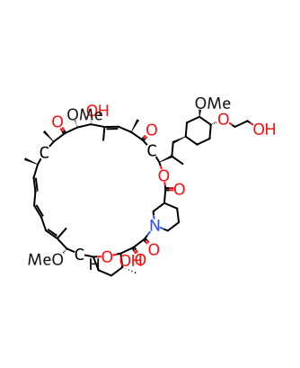 CO[C@H]1C[C@@H]2CC[C@@H](C)[C@@](O)(O2)C(=O)C(=O)N2CCCC(C2)C(=O)O[C@H](C(C)C[C@@H]2CC[C@@H](OCCO)[C@H](OC)C2)CC(=O)[C@H](C)/C=C(\C)[C@@H](O)[C@@H](OC)C(=O)[C@H](C)C[C@H](C)/C=C/C=C/C=C/1C